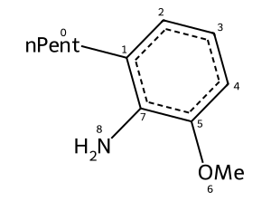 CCCCCc1cccc(OC)c1N